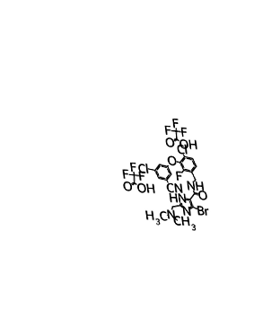 CN(C)Cc1nc(Br)c(C(=O)NCc2ccc(Cl)c(Oc3cc(Cl)cc(C#N)c3)c2F)[nH]1.O=C(O)C(F)(F)F.O=C(O)C(F)(F)F